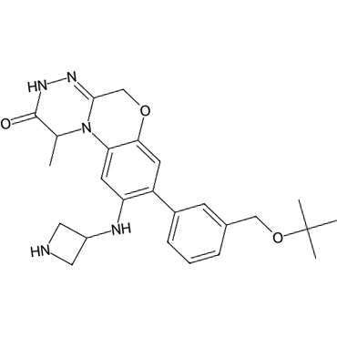 CC1C(=O)NN=C2COc3cc(-c4cccc(COC(C)(C)C)c4)c(NC4CNC4)cc3N21